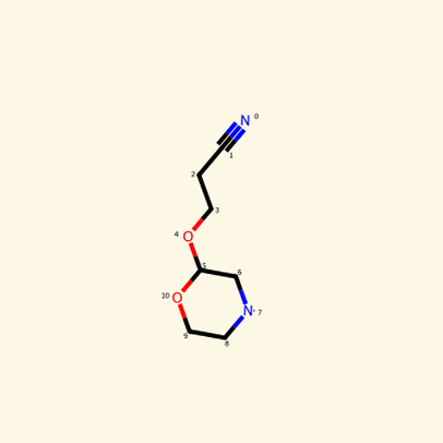 N#CCCOC1C[N]CCO1